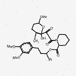 COc1ccc(CCC(OC(=O)C2CCCCN2C(=O)C(=O)C2(O)OC(SC)CCC2C)C(C)C)cc1OC